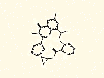 Cc1cc(C(C)Nc2cccnc2C(=O)NC2CC2)c2oc(-c3ccccc3)c(C)c(=O)c2c1